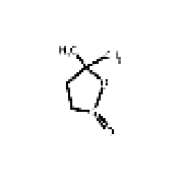 CC1(C)CCS(=O)O1